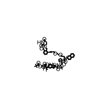 CC(C)(C)C(=O)OCOP(=O)(O)C(F)(F)c1ccc2sc(C(=O)NC(C(=O)N3CCC[C@H]3C(=O)N(CCOCCOCC#Cc3cccc4c3CN(C3CCC(=O)NC3=O)C4=O)c3ccc4ccccc4c3)C(C)(C)C)cc2c1